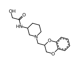 O=C(CO)NC1CCCN(CC2COc3ccccc3O2)C1